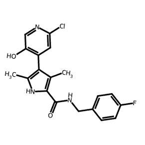 Cc1[nH]c(C(=O)NCc2ccc(F)cc2)c(C)c1-c1cc(Cl)ncc1O